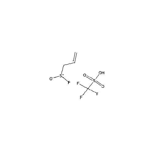 C=CC[S+]([O-])F.O=S(=O)(O)C(F)(F)F